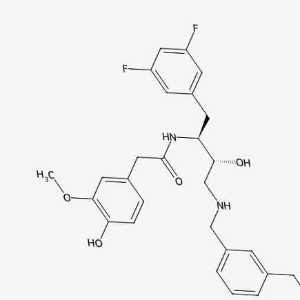 CCc1cccc(CNC[C@@H](O)[C@H](Cc2cc(F)cc(F)c2)NC(=O)Cc2ccc(O)c(OC)c2)c1